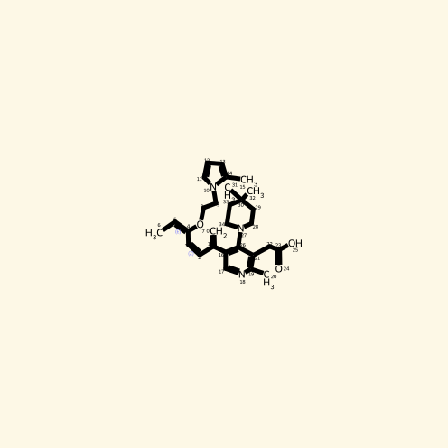 C=C(/C=C\C(=C/C)OCCn1cccc1C)c1cnc(C)c(CC(=O)O)c1N1CCC(C)(C)CC1